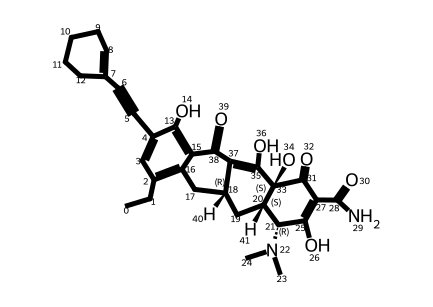 CCc1cc(C#CC2=CCCCC2)c(O)c2c1C[C@H]1C[C@H]3[C@@H](N(C)C)C(O)=C(C(N)=O)C(=O)[C@@]3(O)C(O)=C1C2=O